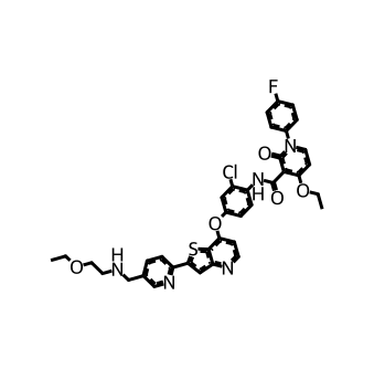 CCOCCNCc1ccc(-c2cc3nccc(Oc4ccc(NC(=O)c5c(OCC)ccn(-c6ccc(F)cc6)c5=O)c(Cl)c4)c3s2)nc1